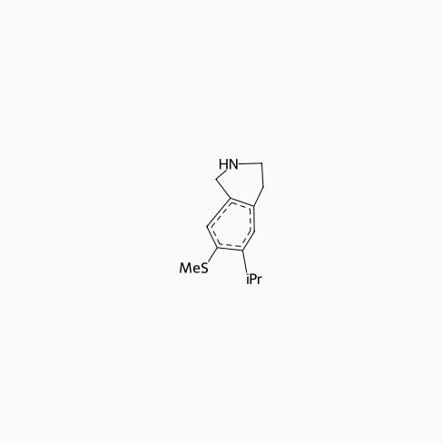 CSc1cc2c(cc1C(C)C)CCNC2